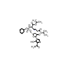 CC(C)OC(=O)C/C=C/C(NP(=O)(OC[C@@H]1CC(=O)[C@H](n2cnc(C(N)=O)c2O)O1)Oc1ccccc1)C(=O)OC(C)C